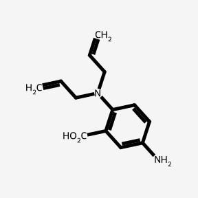 C=CCN(CC=C)c1ccc(N)cc1C(=O)O